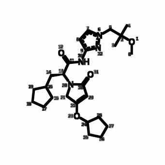 COC(C)(C)Cn1ccc(NC(=O)[C@H](CC2CCCC2)N2CC(OC3CCCC3)=CC2=O)n1